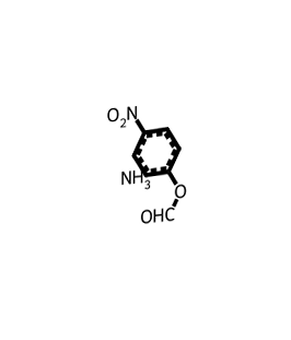 N.O=COc1ccc([N+](=O)[O-])cc1